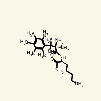 Bc1c(B)c(B)c(C(B)(B)[C@](B)(N)C(=O)N[C@@H](CCCCN)C(N)=O)c(B)c1B